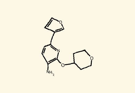 Nc1ccc(-c2ccoc2)nc1OC1CCOCC1